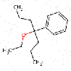 [CH2]CCC(CCC)(OCC)c1ccccc1